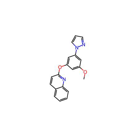 COc1cc(Oc2ccc3ccccc3n2)cc(-n2cccn2)c1